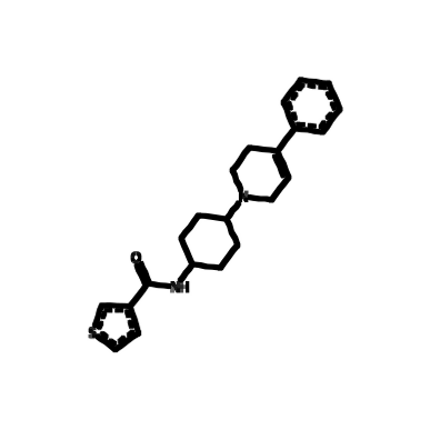 O=C(NC1CCC(N2CC=C(c3ccccc3)CC2)CC1)c1ccsc1